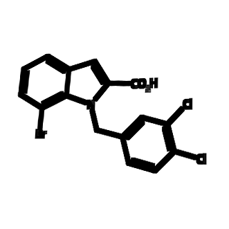 O=C(O)c1cc2cccc(Br)c2n1Cc1ccc(Cl)c(Cl)c1